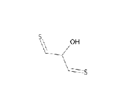 OC(C=S)C=S